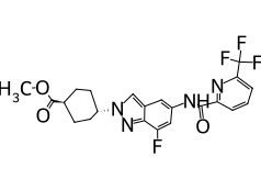 COC(=O)[C@H]1CC[C@H](n2cc3cc(NC(=O)c4cccc(C(F)(F)F)n4)cc(F)c3n2)CC1